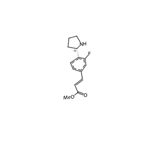 COC(=O)C=Cc1ccc([C@@H]2CCCN2)c(F)c1